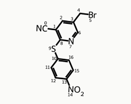 N#Cc1cc(CBr)cnc1Sc1ccc([N+](=O)[O-])cc1